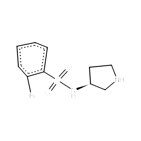 O=S(=O)(N[C@H]1CCNC1)c1ccccc1Br